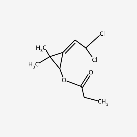 CCC(=O)OC1C(=CC(Cl)Cl)C1(C)C